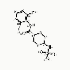 CC(C)(C)S(=O)(=O)N[C@H]1CC[C@H](C(=O)Nc2c(F)cccc2F)CC1